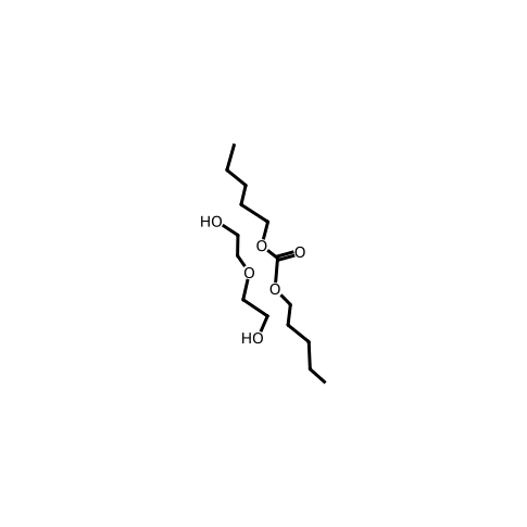 CCCCCOC(=O)OCCCCC.OCCOCCO